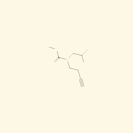 C#CCCN(CC(C)N)C(=O)OC(C)(C)C